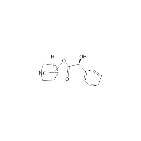 O=C(O[C@@H]1CN2CCC1CC2)[C@@H](O)c1ccccc1